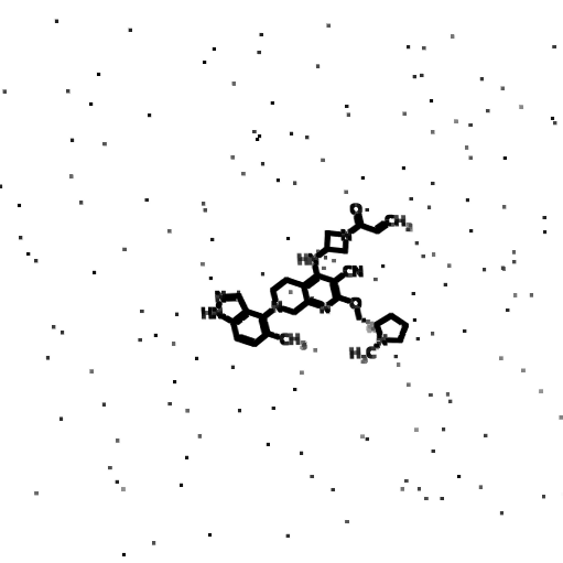 C=CC(=O)N1CC(Nc2c(C#N)c(OC[C@@H]3CCCN3C)nc3c2CCN(c2c(C)ccc4[nH]ncc24)C3)C1